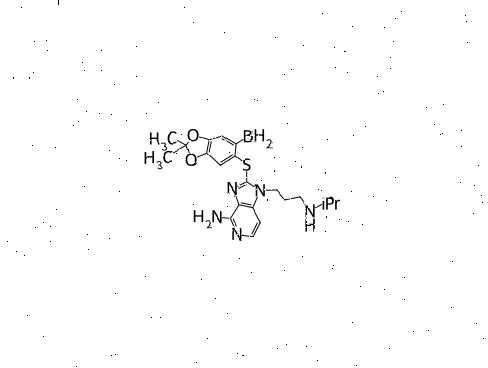 Bc1cc2c(cc1Sc1nc3c(N)nccc3n1CCCNC(C)C)OC(C)(C)O2